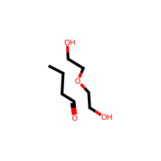 CCCC=O.OCCOCCO